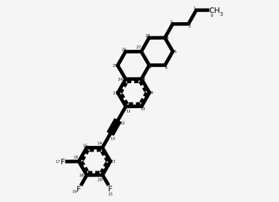 CCCCC1CCC2c3ccc(C#Cc4cc(F)c(F)c(F)c4)cc3CCC2C1